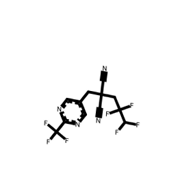 N#CC(C#N)(Cc1cnc(C(F)(F)F)nc1)CC(F)(F)C(F)F